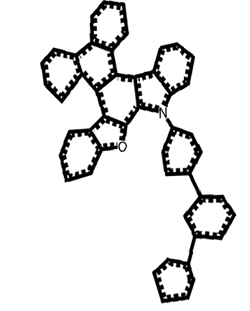 c1ccc(-c2cccc(-c3ccc(-n4c5ccccc5c5c6c7ccccc7c7ccccc7c6c6c7ccccc7oc6c54)cc3)c2)cc1